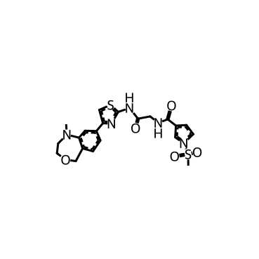 CN1CCOCc2ccc(-c3csc(NC(=O)CNC(=O)c4ccn(S(C)(=O)=O)c4)n3)cc21